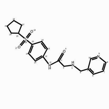 O=C(CNCc1cccnc1)Nc1ccc(S(=O)(=O)C2CCCC2)cc1